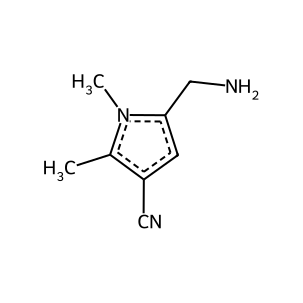 Cc1c(C#N)cc(CN)n1C